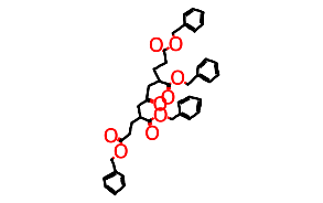 O=C(CC(CCC(=O)OCc1ccccc1)C(=O)OCc1ccccc1)CC(CCC(=O)OCc1ccccc1)C(=O)OCc1ccccc1